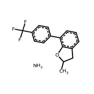 CC1Cc2cccc(-c3ccc(C(F)(F)F)cc3)c2O1.N